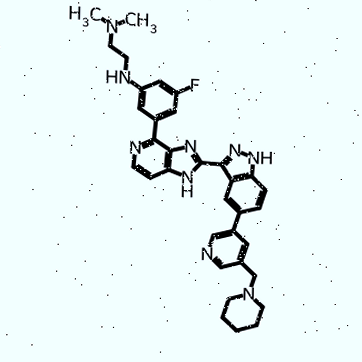 CN(C)CCNc1cc(F)cc(-c2nccc3[nH]c(-c4n[nH]c5ccc(-c6cncc(CN7CCCCC7)c6)cc45)nc23)c1